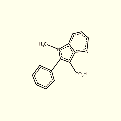 Cn1c(-c2ccccc2)c(C(=O)O)c2ncccc21